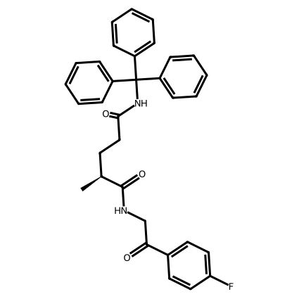 C[C@@H](CCC(=O)NC(c1ccccc1)(c1ccccc1)c1ccccc1)C(=O)NCC(=O)c1ccc(F)cc1